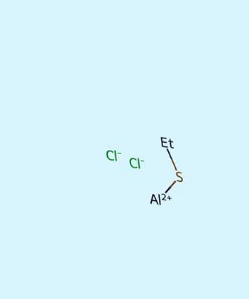 CC[S][Al+2].[Cl-].[Cl-]